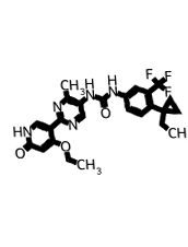 CCOc1cc(=O)[nH]cc1-c1ncc(NC(=O)Nc2ccc(C3(CC)CC3)c(C(F)(F)F)c2)c(C)n1